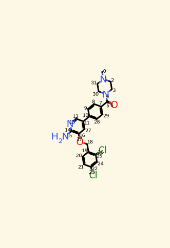 CN1CCN(C(=O)c2ccc(-c3cnc(N)c(OCc4ccc(Cl)cc4Cl)c3)cc2)CC1